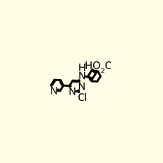 O=C(O)C1C2CCC(CC2)C1Nc1cc(-c2cccnc2)nc(Cl)n1